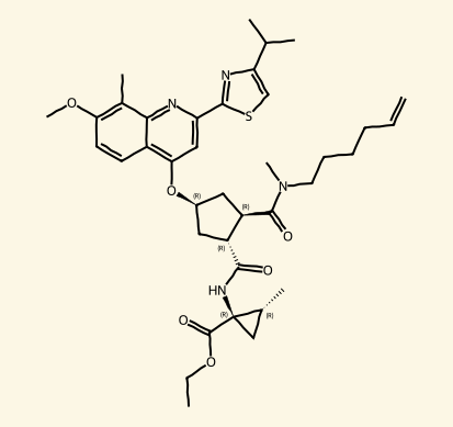 C=CCCCCN(C)C(=O)[C@@H]1C[C@H](Oc2cc(-c3nc(C(C)C)cs3)nc3c(C)c(OC)ccc23)C[C@H]1C(=O)N[C@]1(C(=O)OCC)C[C@H]1C